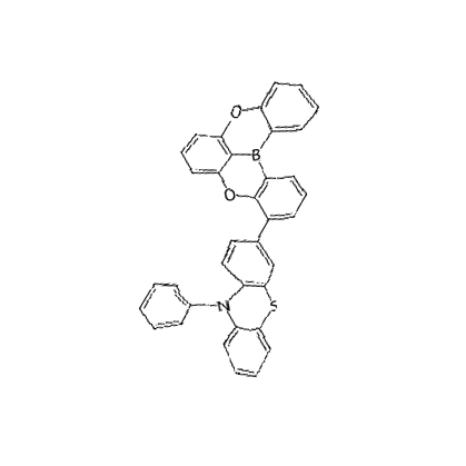 c1ccc(N2c3ccccc3Sc3cc(-c4cccc5c4Oc4cccc6c4B5c4ccccc4O6)ccc32)cc1